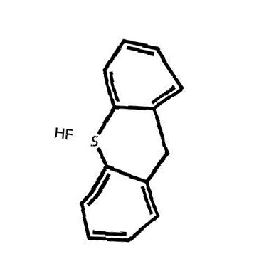 F.c1ccc2c(c1)Cc1ccccc1S2